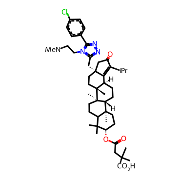 CNCCn1c(C[C@@]23CC[C@]4(C)[C@H](CC[C@@H]5[C@@]6(C)CC[C@H](OC(=O)CC(C)(C)C(=O)O)C(C)(C)C6CC[C@]54C)C2=C(C(C)C)C(=O)C3)nnc1-c1ccc(Cl)cc1